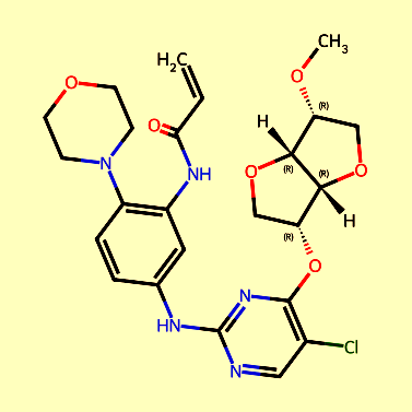 C=CC(=O)Nc1cc(Nc2ncc(Cl)c(O[C@@H]3CO[C@H]4[C@@H]3OC[C@H]4OC)n2)ccc1N1CCOCC1